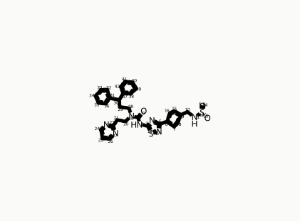 O=C(Nc1nc(-c2ccc(CN[SH](=O)=O)cc2)ns1)N(CCc1ncccn1)CCC(c1ccccc1)c1ccccc1